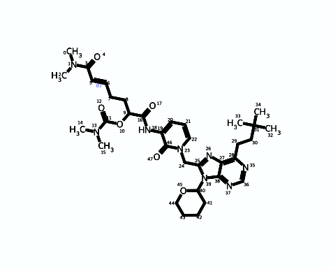 CN(C)C(=O)/C=C/CCC(OC(=O)N(C)C)C(=O)Nc1cccn(Cc2nc3c(CCC(C)(C)C)ncnc3n2C2CCCCO2)c1=O